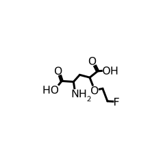 NC(CC(OCCF)C(=O)O)C(=O)O